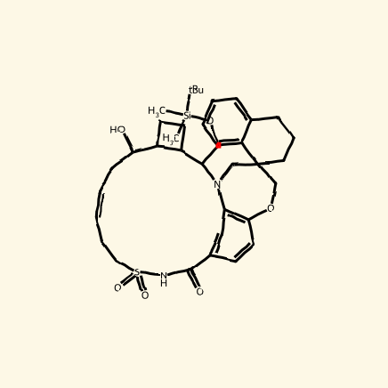 CC(C)(C)[Si](C)(C)OCC1C2CCC2C(O)CC=CCCS(=O)(=O)NC(=O)c2ccc3c(c2)N1CC1(CCCc2ccccc21)CO3